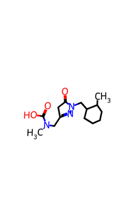 CC1CCCCC1CN1N=C(CN(C)C(=O)O)CC1=O